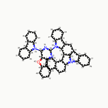 c1ccc2c(c1)ccc1c2c2c3c(cc4c5ccccc5n1c42)c1ccccc1n3-c1nc(-n2c3ccccc3c3ccccc32)c2oc3ccccc3c2n1